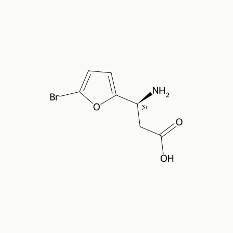 N[C@@H](CC(=O)O)c1ccc(Br)o1